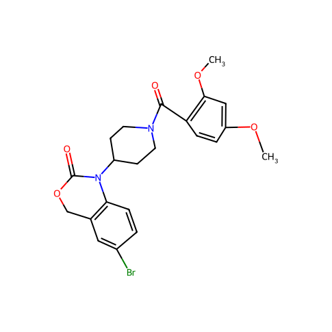 COc1ccc(C(=O)N2CCC(N3C(=O)OCc4cc(Br)ccc43)CC2)c(OC)c1